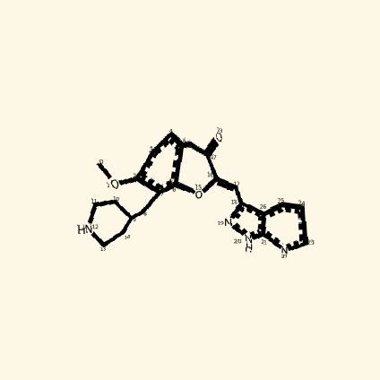 COc1ccc2c(c1CC1CCNCC1)O/C(=C\c1n[nH]c3ncccc13)C2=O